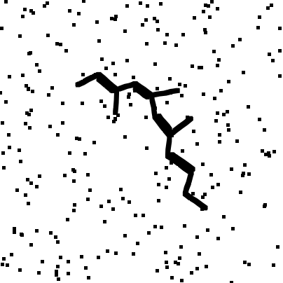 C/C=C(C)/C=C(C)\C=C(C)\C=C\CC